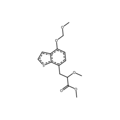 COCOc1ccc(CC(OC)C(=O)OC)c2sccc12